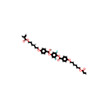 C=CC(=O)OCCCCCCOc1ccc(C(=O)Oc2c(F)cc(OC(=O)c3ccc(OCCCCCCOC(=O)C(=C)C)cc3)cc2F)cc1